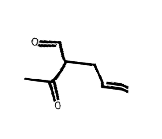 C=CCC(C=O)C(C)=O